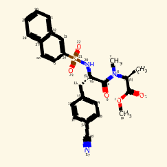 COC(=O)[C@H](C)N(C)C(=O)[C@H](Cc1ccc(C#N)cc1)NS(=O)(=O)c1ccc2ccccc2c1